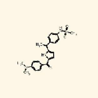 CC(c1ccc(NS(C)(=O)=O)cc1)c1ccc(C(=O)c2ccc(N(C)C)cc2)[nH]1